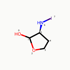 OC1OCC[C@@H]1NI